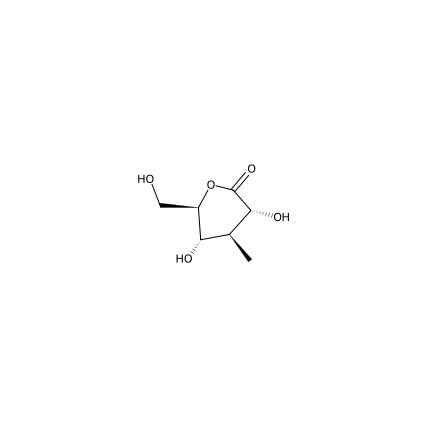 C[C@H]1[C@H](O)[C@@H](CO)OC(=O)[C@@H]1O